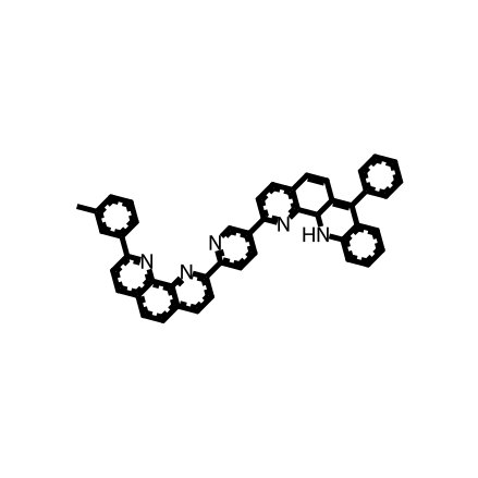 Cc1cccc(-c2ccc3ccc4ccc(-c5ccc(-c6ccc7c(n6)C6Nc8ccccc8C(c8ccccc8)=C6C=C7)cn5)nc4c3n2)c1